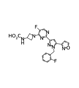 O=C(O)NC1CN(c2nc(-c3cc(-c4ccon4)n(Cc4ccccc4F)n3)ncc2F)C1